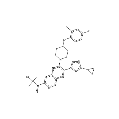 CC(C)(O)C(=O)c1cc2nc(N3CCC(Oc4ccc(F)cc4F)CC3)c(-c3cnn(C4CC4)c3)nc2cn1